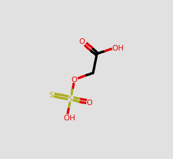 O=C(O)COS(=O)(O)=S